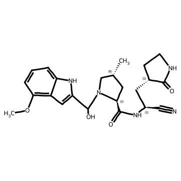 COc1cccc2[nH]c(C(O)N3C[C@H](C)C[C@H]3C(=O)N[C@H](C#N)C[C@@H]3CCNC3=O)cc12